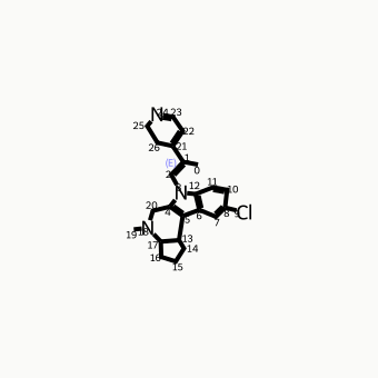 C/C(=C\n1c2c(c3cc(Cl)ccc31)C1CCCC1N(C)C2)C1=CC=NCC1